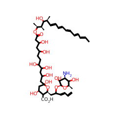 C=C/C=C/C(C[C@@H]1OC(O)(CC(O)CC(O)C(O)CCC(O)CC(O)CC(=O)O[C@@H](C)[C@H](C)C(O)[C@@H](C)/C=C/C=C/C=C/C=C/C=C/C)C[C@H](O)C1C(=O)O)O[C@@H]1O[C@H](C)C(O)[C@H](N)C1O